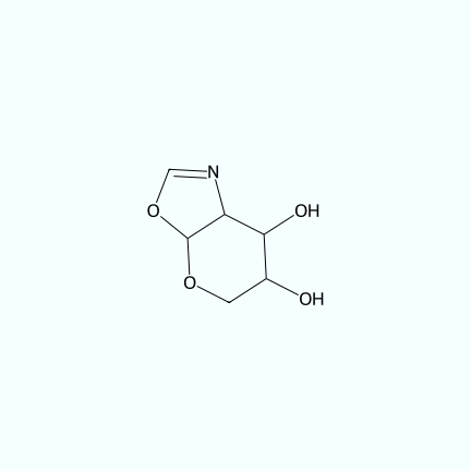 OC1COC2OC=NC2C1O